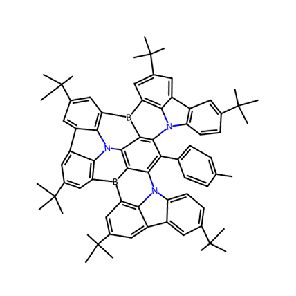 Cc1ccc(-c2c3c4c5c6c2-n2c7ccc(C(C)(C)C)cc7c7cc(C(C)(C)C)cc(c72)B6c2cc(C(C)(C)C)cc6c7cc(C(C)(C)C)cc(c7n-5c26)B4c2cc(C(C)(C)C)cc4c5cc(C(C)(C)C)ccc5n-3c24)cc1